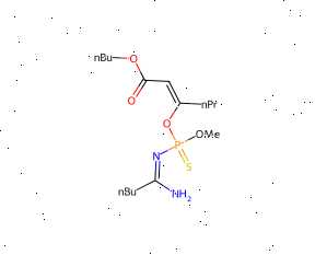 CCCCOC(=O)C=C(CCC)OP(=S)(N=C(N)CCCC)OC